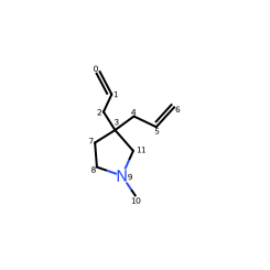 C=CCC1(CC=C)CCN(C)C1